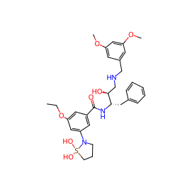 CCOc1cc(C(=O)N[C@@H](Cc2ccccc2)[C@@H](O)CNCc2cc(OC)cc(OC)c2)cc(N2CCCS2(O)O)c1